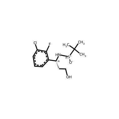 CC(C)(C)[S@+]([O-])N[C@H](CCO)c1cccc(Cl)c1F